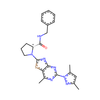 Cc1cc(C)n(-c2nc(C)c3sc(N4CCC[C@@H]4C(=O)NCc4ccccc4)nc3n2)n1